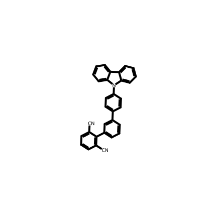 N#Cc1cccc(C#N)c1-c1cccc(-c2ccc(-n3c4ccccc4c4ccccc43)cc2)c1